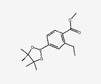 CCc1cc(B2OC(C)(C)C(C)(C)O2)ccc1C(=O)OC